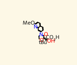 COc1ccc2ccc(N3CCO[C@H]([C@@](O)(C(=O)O)C(C)(C)C)C3=O)cc2n1